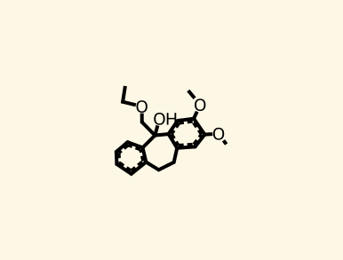 CCOCC1(O)c2ccccc2CCc2cc(OC)c(OC)cc21